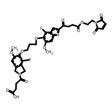 COc1cc2c(c(F)c1OCCCOc1c(OC)cc3sc(C(=O)CCC(=O)OCCN4C(=O)C=CC4=O)cc3c1F)CN(C(=O)CCC(=O)O)C2